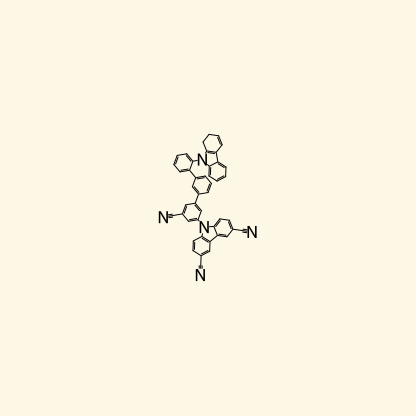 N#Cc1cc(-c2cccc(-c3ccccc3-n3c4c(c5ccccc53)C=CCC4)c2)cc(-n2c3ccc(C#N)cc3c3cc(C#N)ccc32)c1